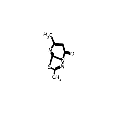 Cc1cc(=O)n2nc(C)sc2n1